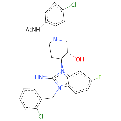 CC(=O)Nc1ccc(Cl)cc1N1CC[C@H](n2c(=N)n(Cc3ccccc3Cl)c3ccc(F)cc32)[C@@H](O)C1